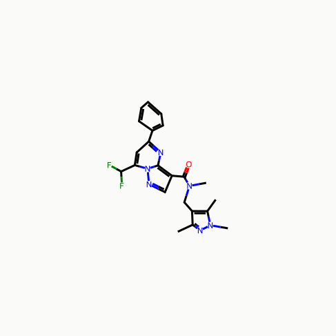 Cc1nn(C)c(C)c1CN(C)C(=O)c1cnn2c(C(F)F)cc(-c3ccccc3)nc12